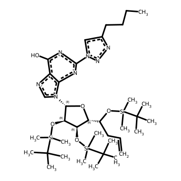 C=CCC(O[Si](C)(C)C(C)(C)C)[C@H]1O[C@@H](n2cnc3c(O)nc(-n4cc(CCCC)nn4)nc32)[C@H](O[Si](C)(C)C(C)(C)C)[C@@H]1O[Si](C)(C)C(C)(C)C